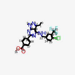 CCc1nn(C)c2nc(-c3ccc(C(=O)OC)cc3)nc(NCc3ccc(Cl)c(C(F)(F)F)c3)c12